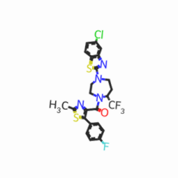 Cc1nc(C(=O)N2CCN(c3nc4cc(Cl)ccc4s3)CCC2C(F)(F)F)c(-c2ccc(F)cc2)s1